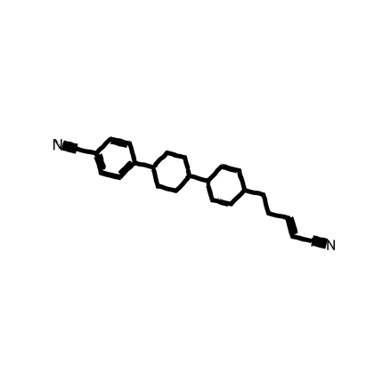 N#CC=CCCC1CCC(C2CCC(c3ccc(C#N)cc3)CC2)CC1